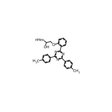 CCCCCCC(O)COc1ccccc1-c1nc(-c2ccc(C)cc2)nc(-c2ccc(C)cc2)n1